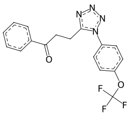 O=C(CCc1nnnn1-c1ccc(OC(F)(F)F)cc1)c1ccccc1